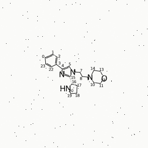 c1ccc(-c2cn(CCN3CCOCC3)c([C@@H]3CCCN3)n2)cc1